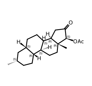 CC(=O)O[C@@H]1C(=O)C[C@@H]2[C@H]3CC[C@H]4C[C@@H](C)CC[C@H]4[C@@H]3CC[C@@]12C